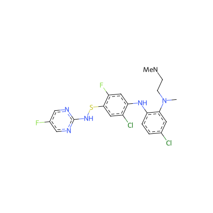 CNCCN(C)c1cc(Cl)ccc1Nc1cc(F)c(SNc2ncc(F)cn2)cc1Cl